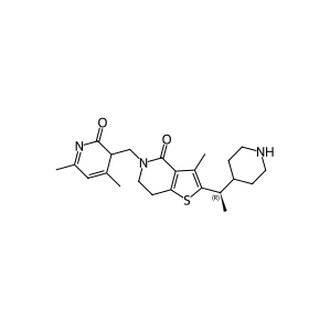 CC1=CC(C)=NC(=O)C1CN1CCc2sc([C@H](C)C3CCNCC3)c(C)c2C1=O